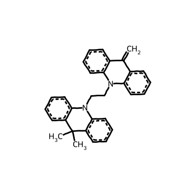 C=C1c2ccccc2N(CCN2c3ccccc3C(C)(C)c3ccccc32)c2ccccc21